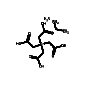 CCN.N.O=C(O)C[N+](CC(=O)O)(CC(=O)O)CC(=O)O